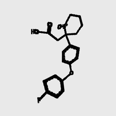 O=C(O)CC1(c2ccc(Oc3ccc(F)cc3)cc2)CCCC[S+]1[O-]